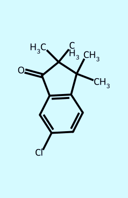 CC1(C)C(=O)c2cc(Cl)ccc2C1(C)C